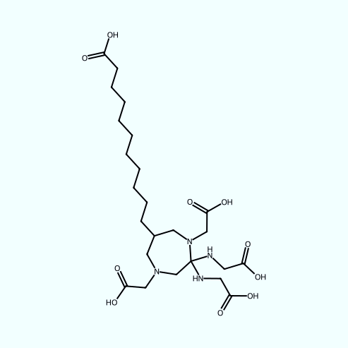 O=C(O)CCCCCCCCCCC1CN(CC(=O)O)CC(NCC(=O)O)(NCC(=O)O)N(CC(=O)O)C1